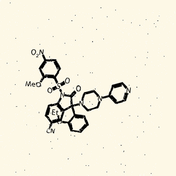 CCOc1ccccc1C1(N2CCN(c3ccncc3)CC2)C(=O)N(S(=O)(=O)c2ccc([N+](=O)[O-])cc2OC)c2ccc(C#N)cc21